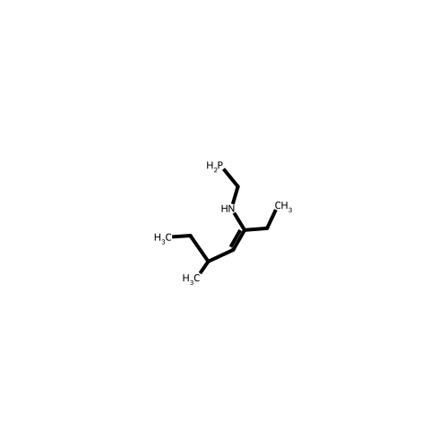 CC/C(=C/C(C)CC)NCP